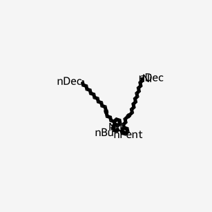 CCCCCCCCCCCCCCCCCCCCCCCC#CCCCc1ccccc1N=C(CCCC)C(CCCCC)=Nc1ccccc1CCCC#CCCCCCCCCCCCCCCCCCCCCCCC.[Ni]